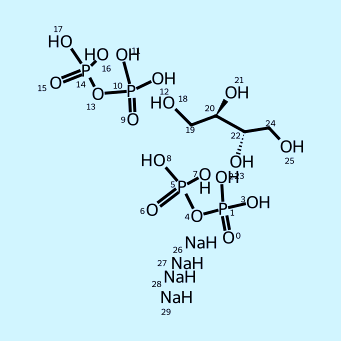 O=P(O)(O)OP(=O)(O)O.O=P(O)(O)OP(=O)(O)O.OC[C@@H](O)[C@@H](O)CO.[NaH].[NaH].[NaH].[NaH]